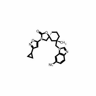 C[C@]1(Cn2cnc3ccc(C#N)cc32)CCC[C@@]2(CN(c3cc(C4CC4)no3)C(=O)O2)C1